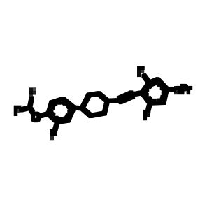 CCCc1cc(F)c(C#CC2CCC(c3ccc(OC(F)F)c(F)c3)CC2)c(F)c1